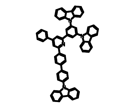 c1ccc(-c2cc(-c3ccc(-c4ccc(-n5c6ccccc6c6ccccc65)cc4)cc3)nc(-c3cc(-n4c5ccccc5c5ccccc54)cc(-n4c5ccccc5c5ccccc54)c3)c2)cc1